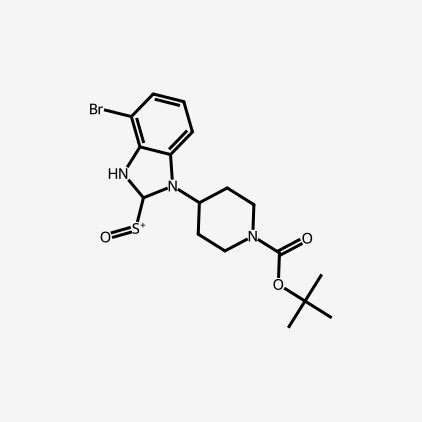 CC(C)(C)OC(=O)N1CCC(N2c3cccc(Br)c3NC2[S+]=O)CC1